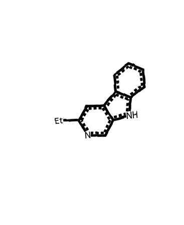 CCc1cc2c(cn1)[nH]c1ccccc12